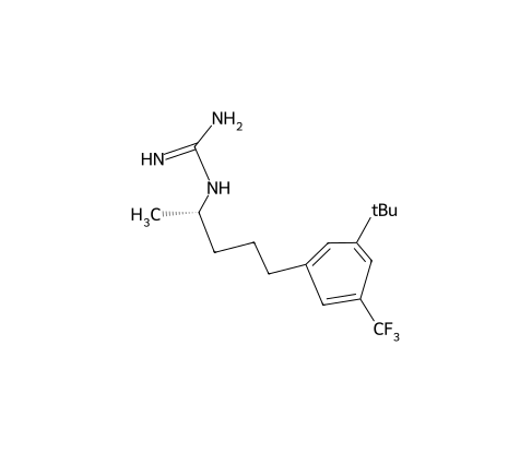 C[C@@H](CCCc1cc(C(C)(C)C)cc(C(F)(F)F)c1)NC(=N)N